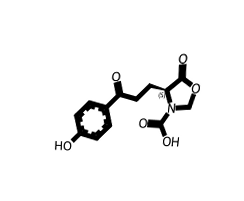 O=C(CC[C@H]1C(=O)OCN1C(=O)O)c1ccc(O)cc1